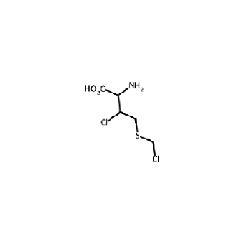 NC(C(=O)O)C(Cl)CSCCl